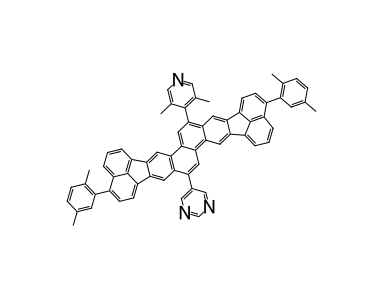 Cc1ccc(C)c(-c2ccc3c4c(cccc24)-c2cc4c(cc2-3)c(-c2cncnc2)cc2c3cc5c(cc3c(-c3c(C)cncc3C)cc42)-c2ccc(-c3cc(C)ccc3C)c3cccc-5c23)c1